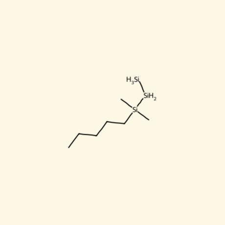 CCCCC[Si](C)(C)[SiH2][SiH3]